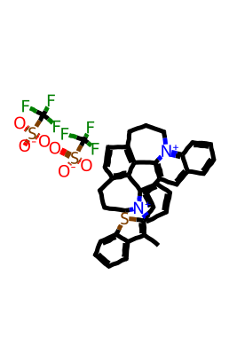 Cc1c(/C=C/c2cc3ccccc3[n+]3c2-c2c(ccc4c2-c2cccc[n+]2CCC4)CCC3)sc2ccccc12.O=S(=O)([O-])C(F)(F)F.O=S(=O)([O-])C(F)(F)F